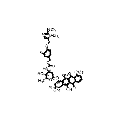 COc1cccc2c1C(=O)c1c(O)c3c(c(O)c1C2=O)C[C@@](O)(C(C)=O)C[C@@H]3O[C@H]1C[C@H](NC(=O)OCc2ccc(OCc3cnc([N+](=O)[O-])n3C)c(F)c2)[C@H](O)[C@H](C)O1